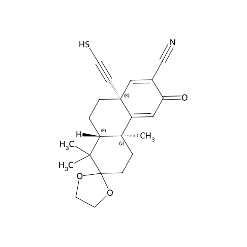 CC1(C)[C@@H]2CC[C@@]3(C#CS)C=C(C#N)C(=O)C=C3[C@@]2(C)CCC12OCCO2